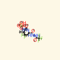 O=C(NNC(=O)C(F)(F)F)[C@@H]1CC(F)(F)[C@@H]2CN1C(=O)N2OS(=O)(=O)O